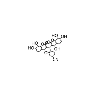 N#Cc1ccc(C(c2c(O)c3ccc(O)c(O)c3oc2=O)c2c(O)c3ccc(O)c(O)c3oc2=O)cc1